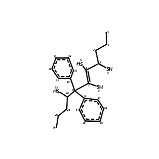 CCCC(S)C(S)=C(S)C(c1ccccc1)(c1ccccc1)C(S)CCC